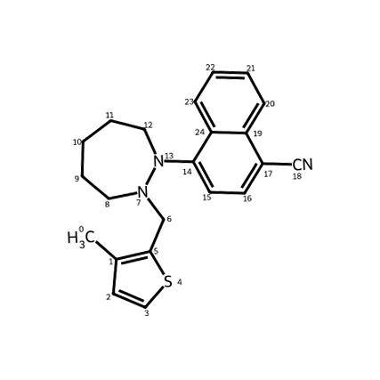 Cc1ccsc1CN1CCCCCN1c1ccc(C#N)c2ccccc12